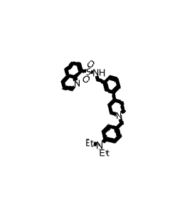 CCN(CC)c1ccc(CN2CCC(c3cccc(CNS(=O)(=O)c4cccc5cccnc45)c3)CC2)cc1